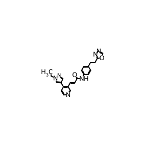 CCn1cc(-c2ccncc2C=CC(=O)Nc2ccc(CCc3nnco3)cc2)cn1